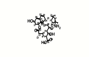 CC(C)(C)CC(C)(C)N.CC[C@H](C)C(=O)O[C@H]1C[C@H](O)C=C2C=C[C@H](C)[C@H](CC[C@@H](O)C[C@@H](O)CC(=O)O)[C@H]21